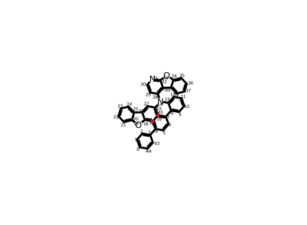 c1ccc(-c2ccc(-c3ccccc3N(c3cnc4oc5ccccc5c4c3)c3ccnc4oc5ccccc5c34)cc2)cc1